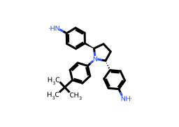 CC(C)(C)c1ccc(N2[C@@H](c3ccc([NH])cc3)CC[C@@H]2c2ccc([NH])cc2)cc1